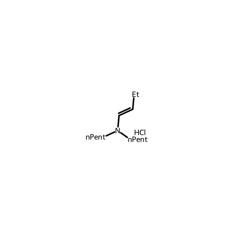 CC/C=C/N(CCCCC)CCCCC.Cl